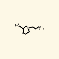 NCCN1CCCC(O)C1